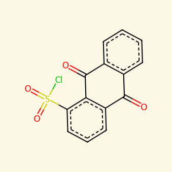 O=C1c2ccccc2C(=O)c2c1cccc2S(=O)(=O)Cl